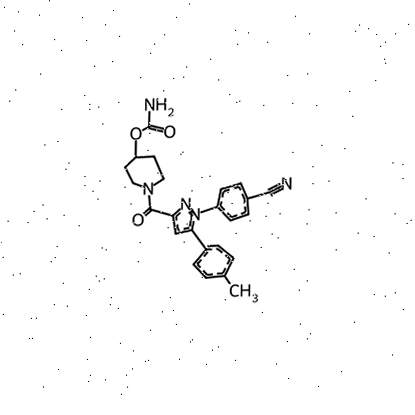 Cc1ccc(-c2cc(C(=O)N3CCC(OC(N)=O)CC3)nn2-c2ccc(C#N)cc2)cc1